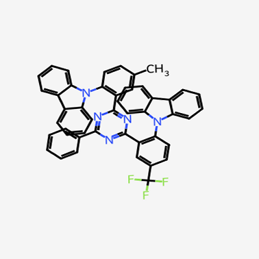 Cc1ccc(-n2c3ccccc3c3ccccc32)c(-c2nc(-c3ccccc3)nc(-c3cc(C(F)(F)F)ccc3-n3c4ccccc4c4ccccc43)n2)c1